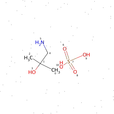 CC(C)(O)CN.O=S(=O)(O)O